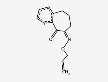 C=CCON=C1CCCc2cccnc2C1=O